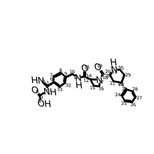 N=C(NC(=O)O)c1ccc(CNC(=O)C2CCN2C(=O)[C@H]2C[C@@H](c3ccccc3)CCN2)cc1